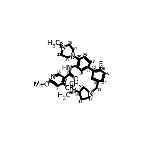 COc1cc(C(F)(F)F)c(C(=O)Nc2cc(-c3cc(CN4CCC(N(C)C)C4)ccc3F)ccc2N2CCN(C)CC2)cn1